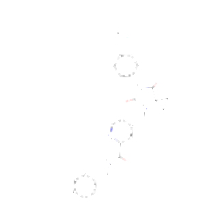 COc1ccc(CNC(=O)c2cc(CN3C(=O)N(c4ccc(OC(F)(F)F)cc4)C(=O)C34CC4)ccn2)cc1